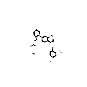 COc1ccc(CNc2cnnc3cc(-c4cc(Cl)ccc4C(=O)NC(C)C)ccc23)c(OC)c1.O=CO